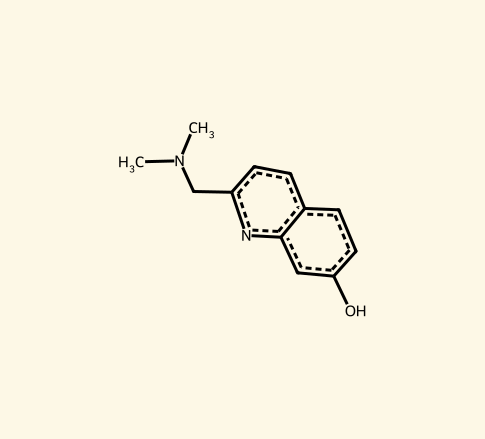 CN(C)Cc1ccc2ccc(O)cc2n1